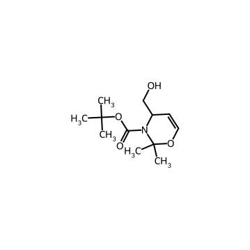 CC(C)(C)OC(=O)N1C(CO)C=COC1(C)C